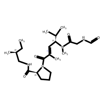 CC[C@H](C)CNC(=O)[C@@H]1CCCN1C(=O)/C(C)=C/[C@H](C(C)C)N(C)C(=O)CNC=O